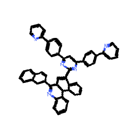 c1ccc(-c2ccc(-c3cc(-c4ccc(-c5ccccn5)cc4)nc(-c4cc5c(-c6ccc7ccccc7c6)nc6ccccc6c5c5ccccc45)n3)cc2)nc1